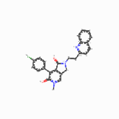 Cn1cc2c(c(-c3ccc(F)cc3)c1=O)C(=O)N(CCc1ccc3ccccc3n1)C2